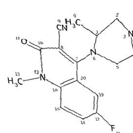 CC1CNCCN1c1c(C#N)c(=O)n(C)c2ccc(F)cc12